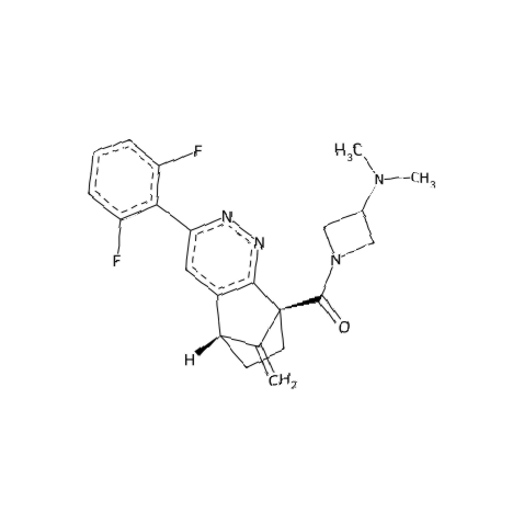 C=C1[C@@H]2CC[C@@]1(C(=O)N1CC(N(C)C)C1)c1nnc(-c3c(F)cccc3F)cc12